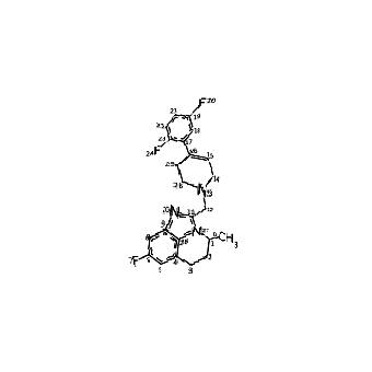 CC1CCc2cc(F)cc3nc(CN4CC=C(c5cc(F)ccc5F)CC4)n1c23